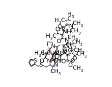 CCC(C)[C@@H]([C@@H](CC(=O)N1CCC[C@H]1[C@H](OC)[C@@H](C)C(=O)NC(CSCc1cccs1)/C(C)=N\O[C@@H]1O[C@H](C(=O)OC)[C@H](OC(C)=O)[C@H](OC(C)=O)[C@@H]1OC(C)=O)OC)N(C)C(=O)[C@H](NC(=O)[C@H](C(C)C)N(C)C)C(C)C